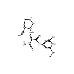 COc1cc(NC(=N)/C(=C\NC2COCCC2C#N)C(N)=O)cc(F)n1